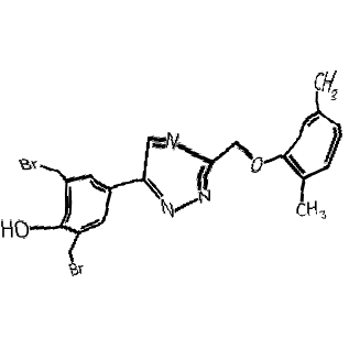 Cc1ccc(C)c(OCc2ncc(-c3cc(Br)c(O)c(Br)c3)nn2)c1